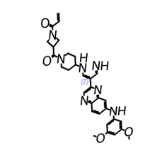 C=CC(=O)N1CC(C(=O)N2CCC(N/C=C(\C=N)c3cnc4ccc(Nc5cc(OC)cc(OC)c5)cc4n3)CC2)C1